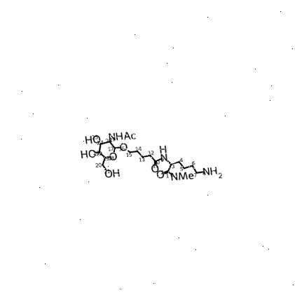 CNC(=O)[C@H](CCCCN)NC(=O)CCCCOC1OC(CO)C(O)C(O)C1NC(C)=O